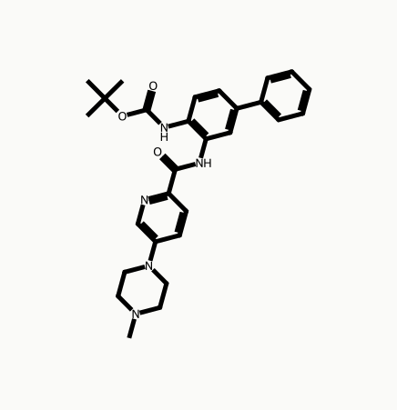 CN1CCN(c2ccc(C(=O)Nc3cc(-c4ccccc4)ccc3NC(=O)OC(C)(C)C)nc2)CC1